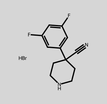 Br.N#CC1(c2cc(F)cc(F)c2)CCNCC1